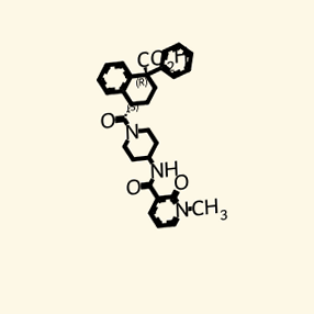 Cn1cccc(C(=O)NC2CCN(C(=O)[C@H]3CC[C@@](C(=O)O)(c4ccccc4)c4ccccc43)CC2)c1=O